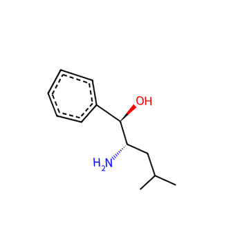 CC(C)C[C@H](N)[C@H](O)c1ccccc1